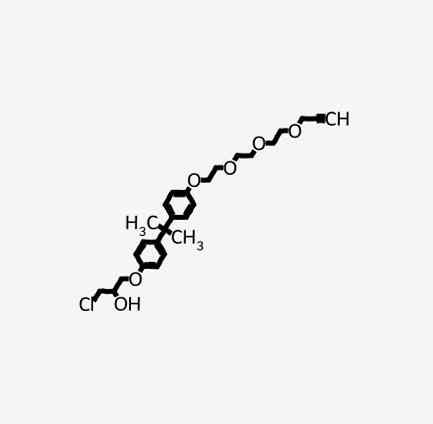 C#CCOCCOCCOCCOc1ccc(C(C)(C)c2ccc(OCC(O)CCl)cc2)cc1